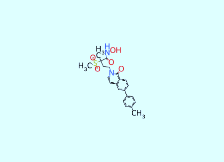 Cc1ccc(-c2ccc3c(=O)n(CCC(C)(C(=O)NO)S(C)(=O)=O)ccc3c2)cc1